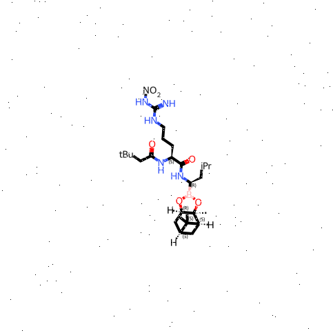 CC(C)C[C@H](NC(=O)[C@H](CCCNC(=N)N[N+](=O)[O-])NC(=O)CC(C)(C)C)B1O[C@@H]2C[C@@H]3C[C@@H](C3(C)C)[C@]2(C)O1